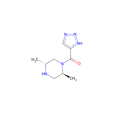 C[C@@H]1CN(C(=O)c2cnn[nH]2)[C@@H](C)CN1